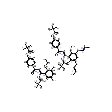 C/C=C/Cc1cc(C/C=C/C)c(OC(=O)C(C)(C)C)c(/C=C/C(=O)c2ccc(OC(=O)C(C)(C)C)cc2)c1OC.CCOc1c(C)cc(C)c(OC(=O)C(C)(C)C)c1/C=C/C(=O)c1ccc(OC(=O)C(C)(C)C)cc1